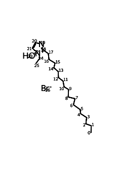 CCCCCCCCCCCCCCCCCCC1=NC=C[N+]1(O)CC.[Br-]